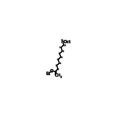 C=C(CCCCCCCCCCCCCCCCC)OCC